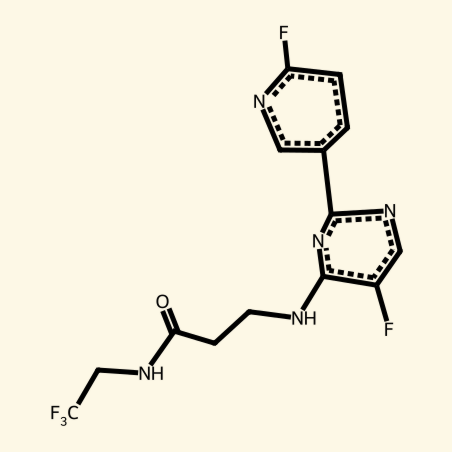 O=C(CCNc1nc(-c2ccc(F)nc2)ncc1F)NCC(F)(F)F